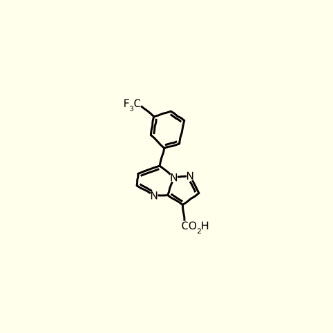 O=C(O)c1cnn2c(-c3cccc(C(F)(F)F)c3)ccnc12